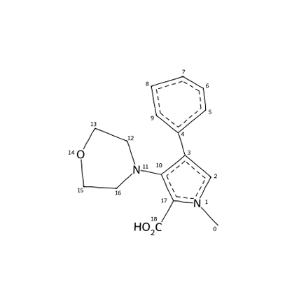 Cn1cc(-c2ccccc2)c(N2CCOCC2)c1C(=O)O